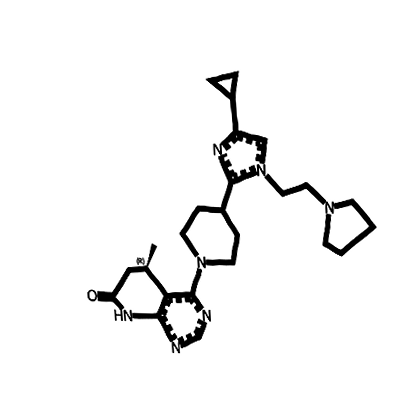 C[C@@H]1CC(=O)Nc2ncnc(N3CCC(c4nc(C5CC5)cn4CCN4CCCC4)CC3)c21